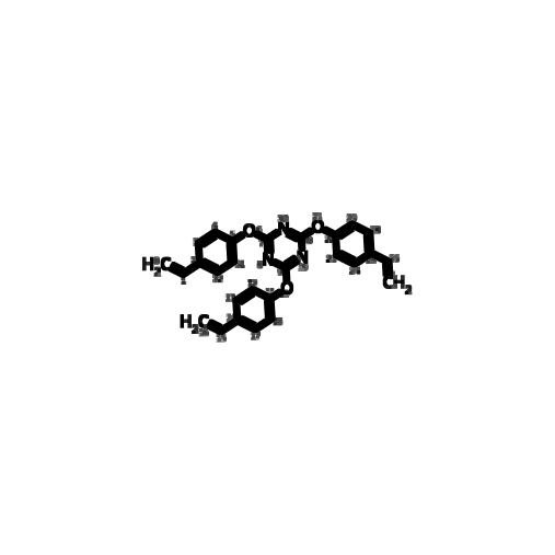 C=Cc1ccc(Oc2nc(Oc3ccc(C=C)cc3)nc(Oc3ccc(C=C)cc3)n2)cc1